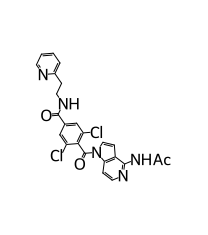 CC(=O)Nc1nccc2c1ccn2C(=O)c1c(Cl)cc(C(=O)NCCc2ccccn2)cc1Cl